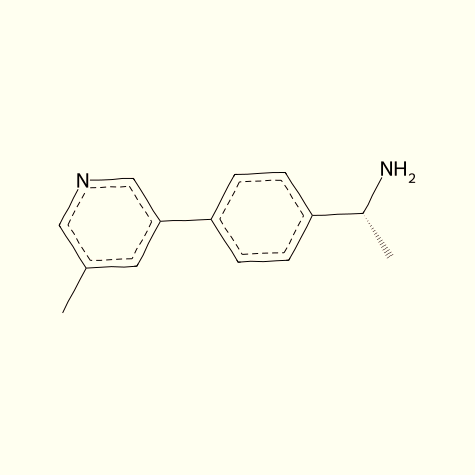 Cc1cncc(-c2ccc([C@@H](C)N)cc2)c1